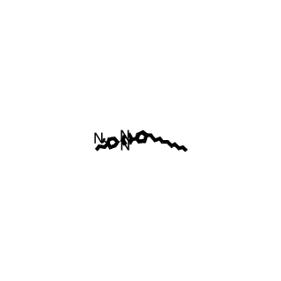 CCCCCCCCCCc1ccc(-c2cnc([C@H]3CC[C@@](C#N)(CCC)CC3)nc2)cc1